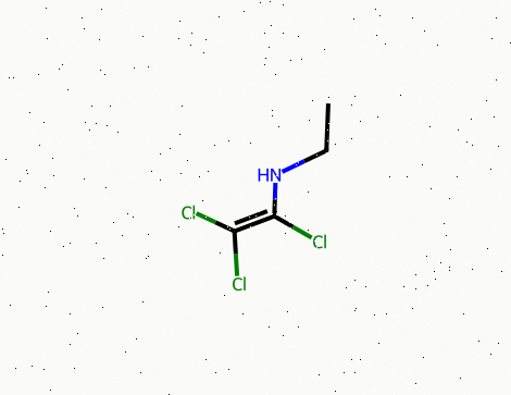 CCNC(Cl)=C(Cl)Cl